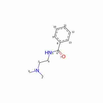 CN(C)CCNC(=O)c1c[c]ccc1